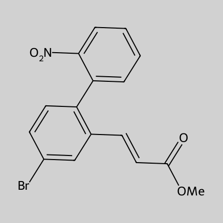 COC(=O)C=Cc1cc(Br)ccc1-c1ccccc1[N+](=O)[O-]